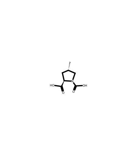 C[C@H]1C[C@H](C(=O)O)N(C(=O)O)C1